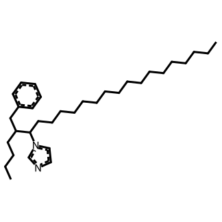 CCCCCCCCCCCCCCCCCC(C(CCCC)Cc1ccccc1)n1ccnc1